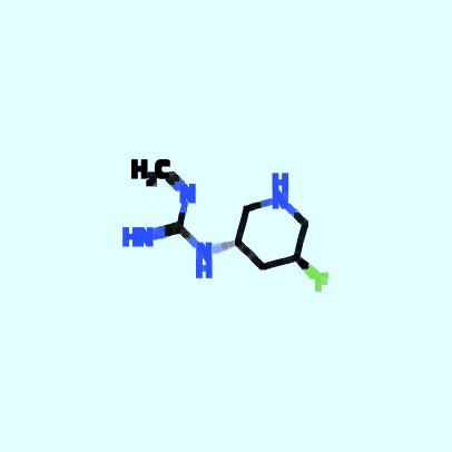 C=NC(=N)N[C@@H]1CNC[C@@H](F)C1